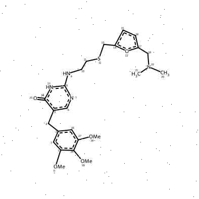 COc1cc(Cc2cnc(NCCSCc3ccc(CN(C)C)o3)[nH]c2=O)cc(OC)c1OC